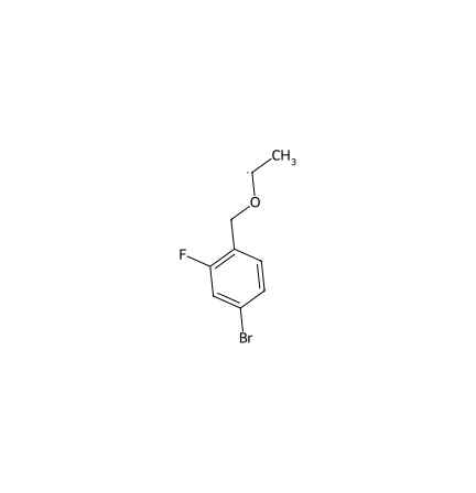 C[CH]OCc1ccc(Br)cc1F